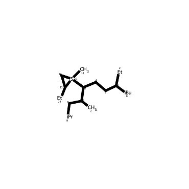 CCC(C)C(CC)CCC(C(C)CC(C)C)S1(C)CC1CC